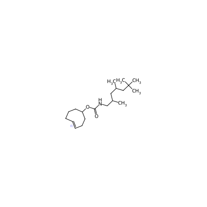 CC(CNC(=O)OC1CC/C=C/CCC1)CC(C)CC(C)(C)C